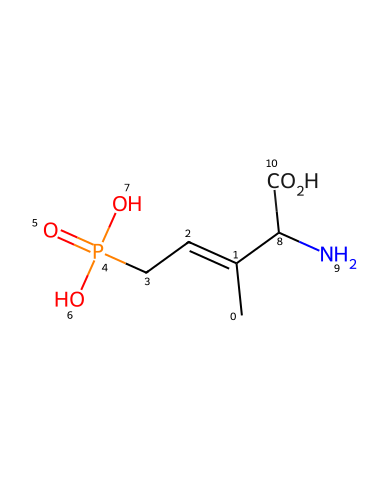 CC(=CCP(=O)(O)O)C(N)C(=O)O